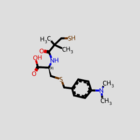 CN(C)c1ccc(CSC[C@H](NC(=O)C(C)(C)CS)C(=O)O)cc1